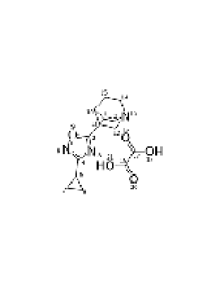 C1=C(c2nc(C3CC3)no2)C2CCN1CC2.O=C(O)C(=O)O